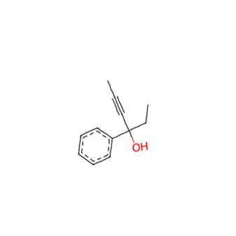 CC#CC(O)(CC)c1ccccc1